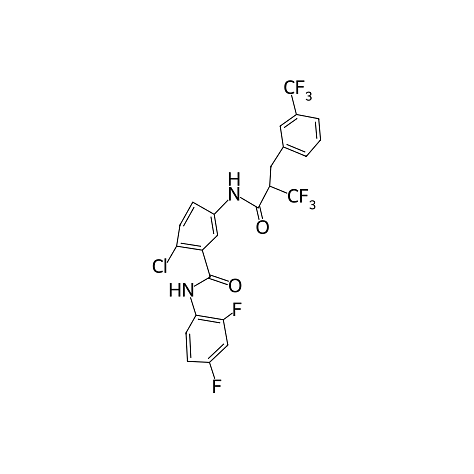 O=C(Nc1ccc(F)cc1F)c1cc(NC(=O)C(Cc2cccc(C(F)(F)F)c2)C(F)(F)F)ccc1Cl